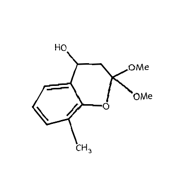 COC1(OC)CC(O)c2cccc(C)c2O1